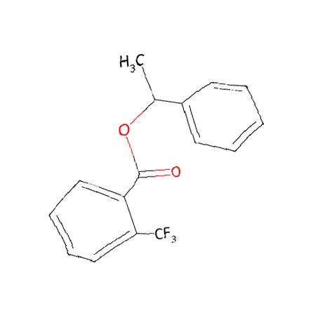 CC(OC(=O)c1ccccc1C(F)(F)F)c1ccccc1